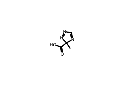 CC1(C(=O)O)N=CN=N1